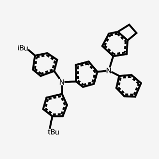 CCC(C)c1ccc(N(c2ccc(N(c3ccccc3)c3ccc4c(c3)CC4)cc2)c2ccc(C(C)(C)C)cc2)cc1